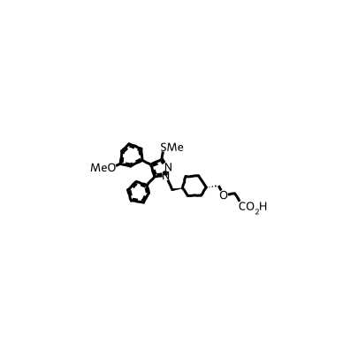 COc1cccc(-c2c(SC)nn(C[C@H]3CC[C@H](COCC(=O)O)CC3)c2-c2ccccc2)c1